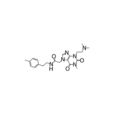 Cc1ccc(CCNC(=O)Cn2cnc3c2c(=O)n(C)c(=O)n3CCN(C)C)cc1